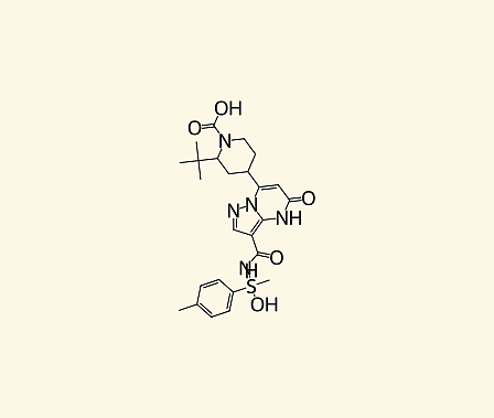 Cc1ccc([SH](C)(O)=NC(=O)c2cnn3c(C4CCN(C(=O)O)C(C(C)(C)C)C4)cc(=O)[nH]c23)cc1